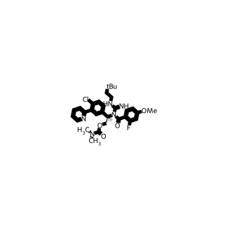 COc1ccc(C(=O)N(C(=N)NCCC(C)(C)C)[C@H](COC(=O)N(C)C)c2ccc(Cl)c(-c3ccccn3)c2)c(F)c1